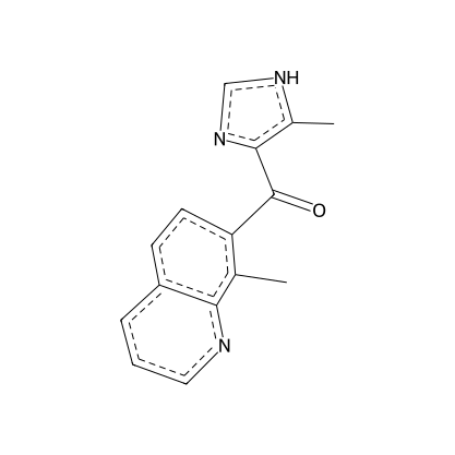 Cc1[nH]cnc1C(=O)c1ccc2cccnc2c1C